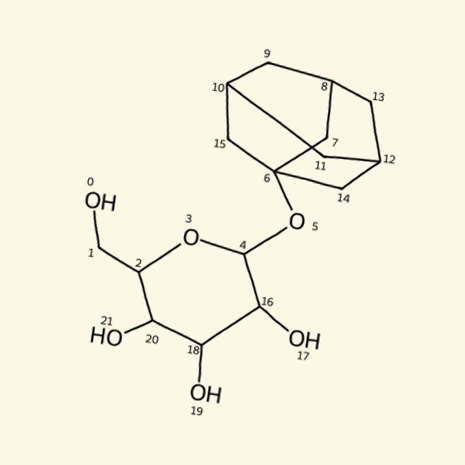 OCC1OC(OC23CC4CC(CC(C4)C2)C3)C(O)C(O)C1O